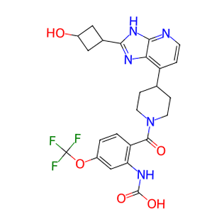 O=C(O)Nc1cc(OC(F)(F)F)ccc1C(=O)N1CCC(c2ccnc3[nH]c(C4CC(O)C4)nc23)CC1